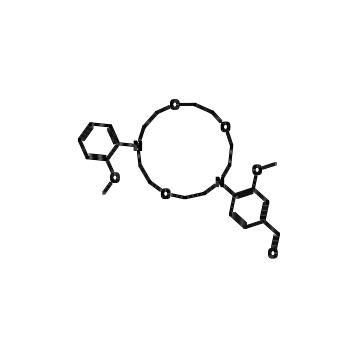 COc1ccccc1N1CCOCCOCCN(c2ccc(C=O)cc2OC)CCOCC1